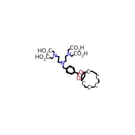 O=C(O)CN(CCN(CCN(CC(=O)O)CC(=O)O)Cc1ccc(C2OC34CCCCCCCCCCC(C3)(C4)O2)cc1)CC(=O)O